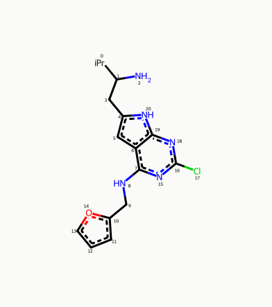 CC(C)C(N)Cc1cc2c(NCc3ccco3)nc(Cl)nc2[nH]1